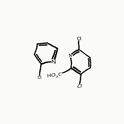 Clc1ccccn1.O=C(O)c1nc(Cl)ccc1Cl